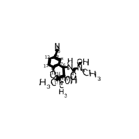 CN(O)C(=O)NC1c2cc(C#N)ccc2OC(C)(C)C1O